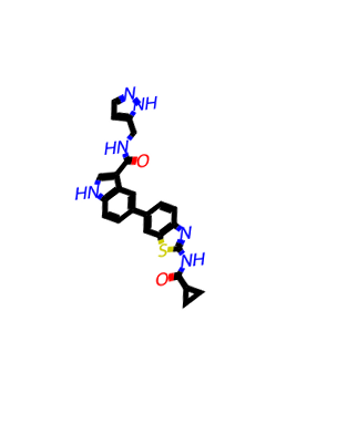 O=C(NCc1ccn[nH]1)c1c[nH]c2ccc(-c3ccc4nc(NC(=O)C5CC5)sc4c3)cc12